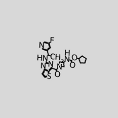 CC(Nc1nc(C(=O)N2CC(NC(=O)OC3CCCC3)C2)c2sccc2n1)c1cncc(F)c1